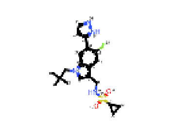 CC(C)(C)Cn1cc(CNS(=O)(=O)C2CC2)c2cc(F)c(-c3ccn[nH]3)cc21